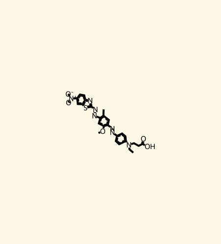 CCN(CCC(=O)O)c1ccc(N=Nc2cc(C)c(N=Nc3nc4ccc([N+](=O)[O-])cc4s3)cc2OC)cc1